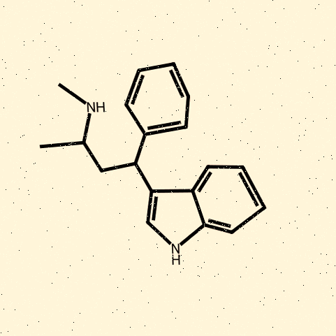 CNC(C)CC(c1ccccc1)c1c[nH]c2ccccc12